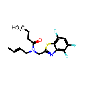 CC=CCN(Cc1nc2c(F)c(F)cc(F)c2s1)C(=O)CCC(=O)O